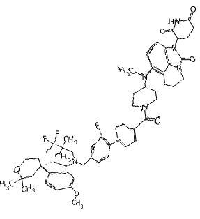 COc1ccc([C@]2(CCN(Cc3ccc(C4=CCC(C(=O)N5CCC(N(C)c6ccc7c8c6CCCn8c(=O)n7C6CCC(=O)NC6=O)CC5)CC4)c(F)c3)CC(C)(C)C(F)(F)F)CCOC(C)(C)C2)cc1